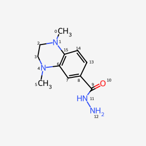 CN1CCN(C)c2cc(C(=O)NN)ccc21